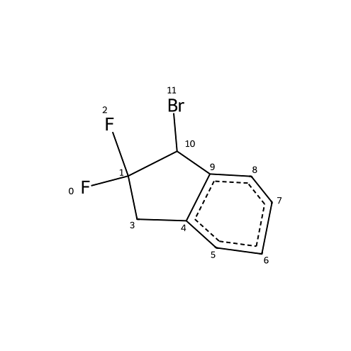 FC1(F)Cc2ccccc2C1Br